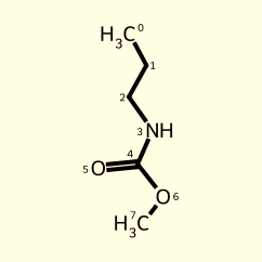 CCCNC(=O)OC